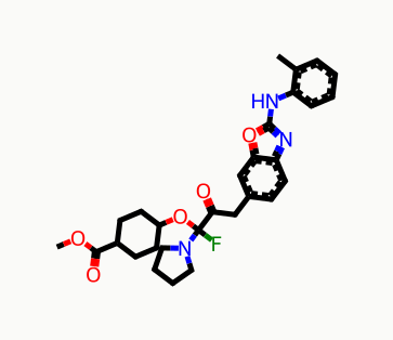 COC(=O)C1CCC(OC(F)(C(=O)Cc2ccc3nc(Nc4ccccc4C)oc3c2)N2CCCC2)CC1